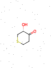 O=C1CCSC[C@@H]1O